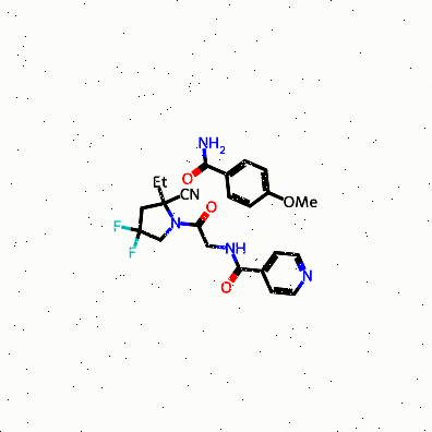 CCC1(C#N)CC(F)(F)CN1C(=O)CNC(=O)c1ccncc1.COc1ccc(C(N)=O)cc1